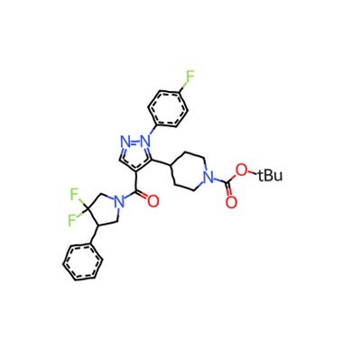 CC(C)(C)OC(=O)N1CCC(c2c(C(=O)N3CC(c4ccccc4)C(F)(F)C3)cnn2-c2ccc(F)cc2)CC1